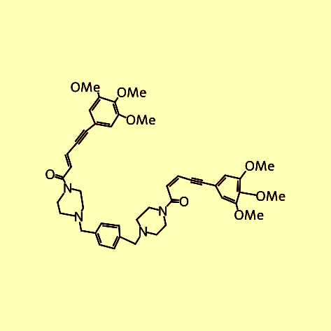 COc1cc(C#CC=CC(=O)N2CCN(Cc3ccc(CN4CCN(C(=O)C=CC#Cc5cc(OC)c(OC)c(OC)c5)CC4)cc3)CC2)cc(OC)c1OC